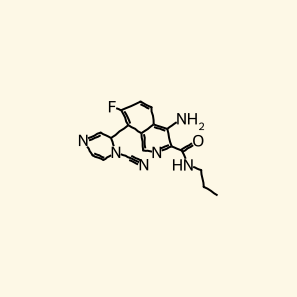 CCCNC(=O)c1ncc2c(C3C=NC=CN3C#N)c(F)ccc2c1N